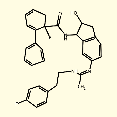 CC(=Nc1ccc2c(c1)C(NC(=O)C1(F)CC=CC=C1c1ccccc1)C(O)C2)NCCc1ccc(F)cc1